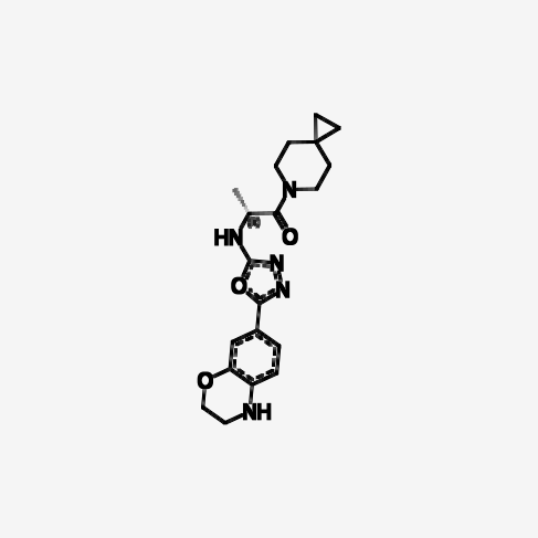 C[C@@H](Nc1nnc(-c2ccc3c(c2)OCCN3)o1)C(=O)N1CCC2(CC1)CC2